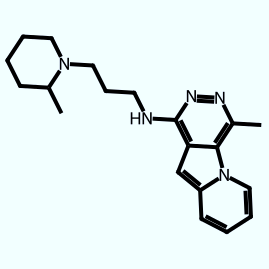 Cc1nnc(NCCCN2CCCCC2C)c2cc3ccccn3c12